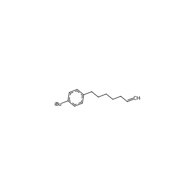 [CH]=CCCCCCc1ccc(C(C)CC)cc1